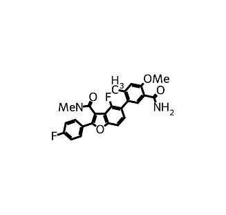 CNC(=O)c1c(-c2ccc(F)cc2)oc2ccc(-c3cc(C(N)=O)c(OC)cc3C)c(F)c12